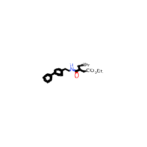 CCOC(=O)CC(CC(C)C)C(=O)NCCc1ccc(-c2ccccc2)cc1